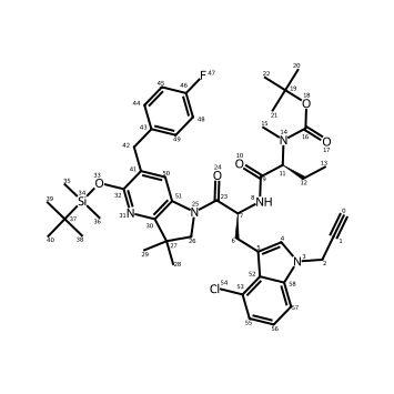 C#CCn1cc(C[C@H](NC(=O)[C@H](CC)N(C)C(=O)OC(C)(C)C)C(=O)N2CC(C)(C)c3nc(O[Si](C)(C)C(C)(C)C)c(Cc4ccc(F)cc4)cc32)c2c(Cl)cccc21